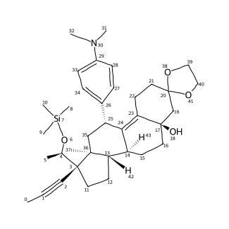 CC#C[C@]1([C@@H](C)O[Si](C)(C)C)CC[C@H]2[C@@H]3CC[C@@]4(O)CC5(CCC4=C3[C@@H](c3ccc(N(C)C)cc3)C[C@@]21C)OCCO5